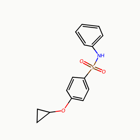 O=S(=O)(Nc1ccccc1)c1ccc(OC2CC2)cc1